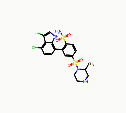 CC1CNCCN1S(=O)(=O)c1ccc(S(N)(=O)=O)c(-c2ccc(Cl)c3c(Cl)c[nH]c23)c1